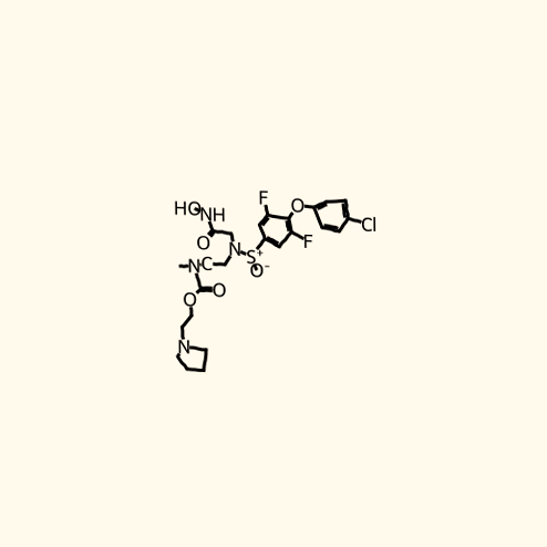 CN(CCN(CC(=O)NO)[S+]([O-])c1cc(F)c(Oc2ccc(Cl)cc2)c(F)c1)C(=O)OCCN1CCCC1